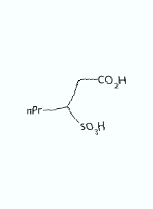 CCCC(CC(=O)O)S(=O)(=O)O